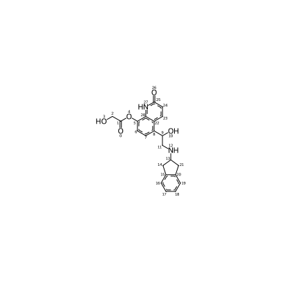 O=C(CO)Oc1ccc(C(O)CNC2Cc3ccccc3C2)c2ccc(=O)[nH]c12